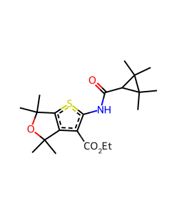 CCOC(=O)c1c(NC(=O)C2C(C)(C)C2(C)C)sc2c1C(C)(C)OC2(C)C